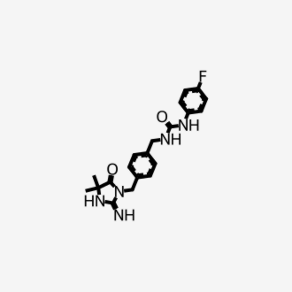 CC1(C)NC(=N)N(Cc2ccc(CNC(=O)Nc3ccc(F)cc3)cc2)C1=O